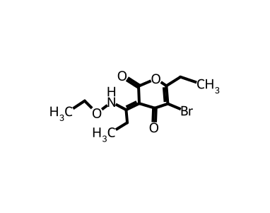 CCON/C(CC)=C1\C(=O)OC(CC)=C(Br)C1=O